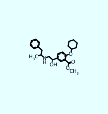 COC(=O)c1cc([C@@H](O)CNC(C)Cc2ccccc2)ccc1OC1CCCCC1